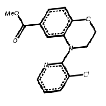 COC(=O)c1ccc2c(c1)N(c1ncccc1Cl)CCO2